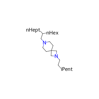 CCCCCCCC(CCCCCC)CN1CCC2(CC1)CN(CCC(C)CCC)C2